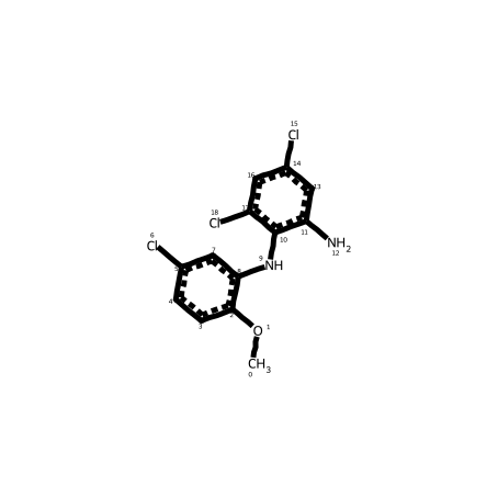 COc1ccc(Cl)cc1Nc1c(N)cc(Cl)cc1Cl